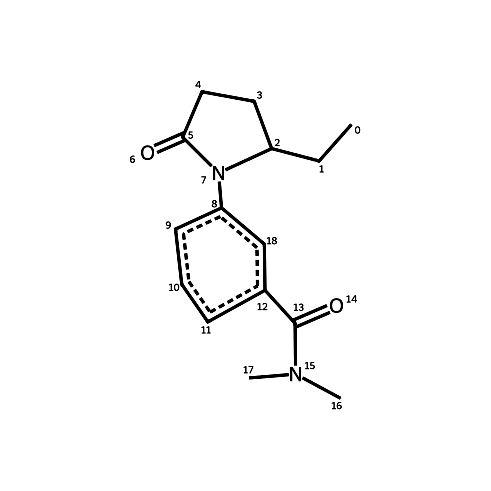 CCC1CCC(=O)N1c1cccc(C(=O)N(C)C)c1